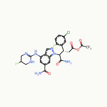 NC(=O)c1cc(NC2=NCC(F)CN2)c2cnn(C(C(N)=O)[C@@H](CC(=O)OC(=O)C(F)(F)F)c3cc(Cl)ccc3F)c2c1